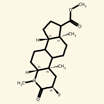 COC(=O)C1CC[C@H]2C3CC[C@H]4N(C)C(=O)[C@H](F)C[C@]4(C)C3CC[C@]12C